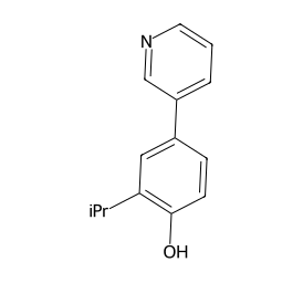 CC(C)c1cc(-c2cccnc2)ccc1O